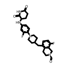 O=CN1CCc2c(CC3CCN(c4ccc(NC5CCC(=O)NC5=O)cc4F)CC3)ccc(F)c2C1